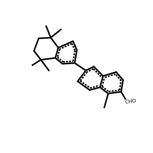 Cc1c(C=O)ccc2cc(-c3ccc4c(c3)C(C)(C)CCC4(C)C)ccc12